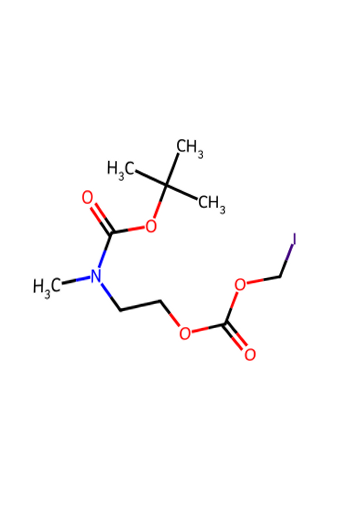 CN(CCOC(=O)OCI)C(=O)OC(C)(C)C